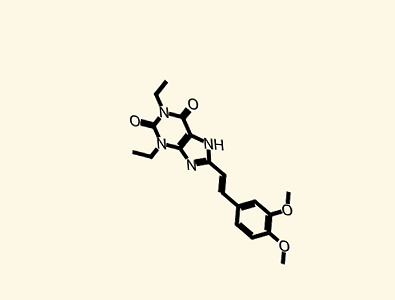 CCn1c(=O)c2[nH]c(/C=C/c3ccc(OC)c(OC)c3)nc2n(CC)c1=O